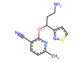 Cc1ccc(C#N)c(OC(CCN)c2ccsn2)n1